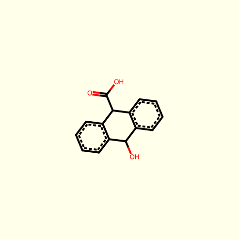 O=C(O)C1c2ccccc2C(O)c2ccccc21